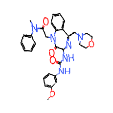 COc1cccc(NC(=O)NC2N=C(CN3CCOCC3)c3ccccc3N(CC(=O)N(C)c3ccccc3)C2=O)c1